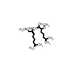 C=C(C)CCCC(OC)C(=C)C.C=C(C)CCCC=C(C)COC